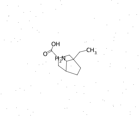 CCC12CCC(CC(C(=O)O)C1)C2N